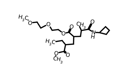 CCC(CC(CC(C)C(=O)NC1CCC1)C(=O)OCCOCCOC)C(=O)OC